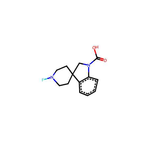 O=C(O)N1CC2(CCN(F)CC2)c2ccccc21